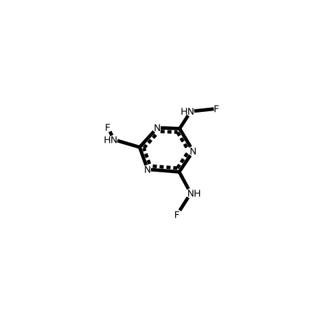 FNc1nc(NF)nc(NF)n1